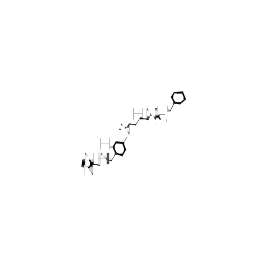 CN(CCCCNC(=O)OCc1ccccc1)Cc1ccc(CNCc2ncc[nH]2)cc1